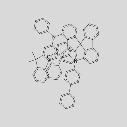 CC1(C)c2ccccc2-c2ccc(N(c3ccccc3)c3cccc4c3-c3ccccc3C43c4ccccc4-c4cccc(N(c5ccc(-c6ccccc6)cc5)c5cccc6oc7ccccc7c56)c43)cc21